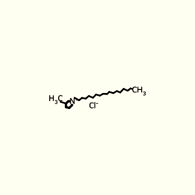 CCCCCCCCCCCCCCCCCC[n+]1cccc(CC)c1.[Cl-]